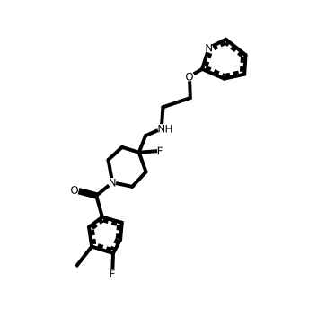 Cc1cc(C(=O)N2CCC(F)(CNCCOc3ccccn3)CC2)ccc1F